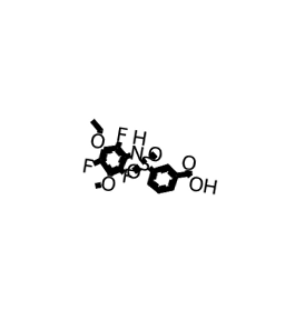 CCOc1c(F)c(NS(=O)(=O)c2cccc(C(=O)O)c2)c(F)c(OC)c1F